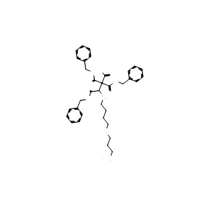 NCCCNCCCCNC(C(=O)OCc1ccccc1)C(C(=O)O)(C(=O)OCc1ccccc1)C(=O)OCc1ccccc1